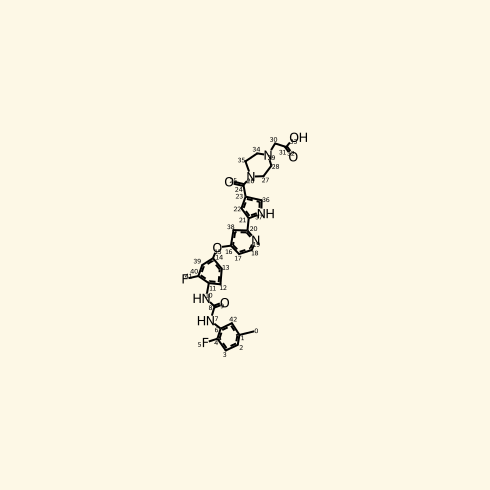 Cc1ccc(F)c(NC(=O)Nc2ccc(Oc3ccnc(-c4cc(C(=O)N5CCN(CC(=O)O)CC5)c[nH]4)c3)cc2F)c1